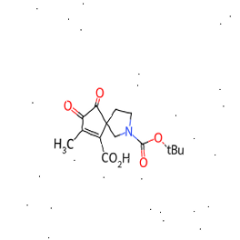 CC1=C(C(=O)O)C2(CCN(C(=O)OC(C)(C)C)C2)C(=O)C1=O